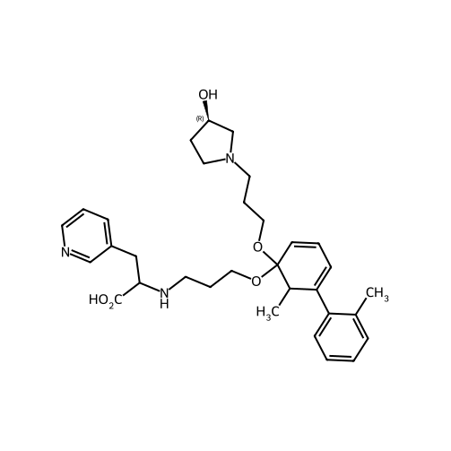 Cc1ccccc1C1=CC=CC(OCCCNC(Cc2cccnc2)C(=O)O)(OCCCN2CC[C@@H](O)C2)C1C